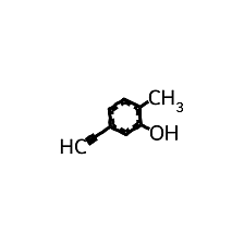 C#Cc1ccc(C)c(O)c1